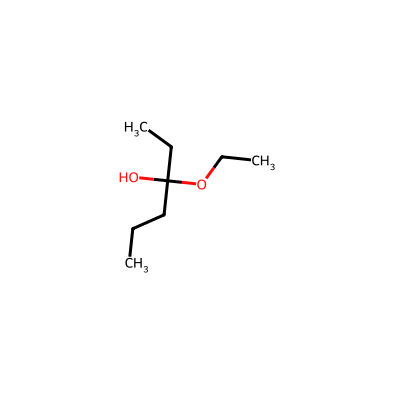 CCCC(O)(CC)OCC